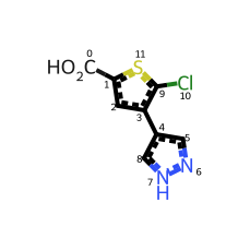 O=C(O)c1cc(-c2cn[nH]c2)c(Cl)s1